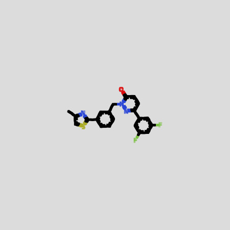 Cc1csc(-c2cccc(Cn3nc(-c4cc(F)cc(F)c4)ccc3=O)c2)n1